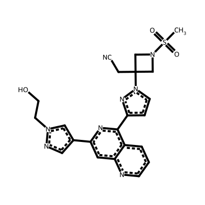 CS(=O)(=O)N1CC(CC#N)(n2ccc(-c3nc(-c4cnn(CCO)c4)cc4ncccc34)n2)C1